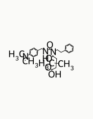 CN(C)c1ccc(CNC(=O)N(CCc2ccccc2)C(=O)CC(C)(C)CC(=O)O)cc1